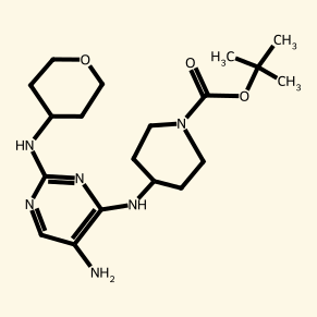 CC(C)(C)OC(=O)N1CCC(Nc2nc(NC3CCOCC3)ncc2N)CC1